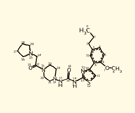 CCCc1ccc(OC)c(-c2csc(NC(=O)NN3CCN(C(=O)CN4CCCC4)CC3)n2)c1